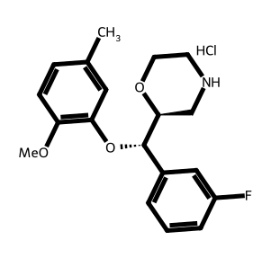 COc1ccc(C)cc1O[C@@H](c1cccc(F)c1)[C@@H]1CNCCO1.Cl